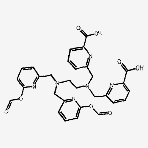 O=COc1cccc(CN(CCN(Cc2cccc(C(=O)O)n2)Cc2cccc(C(=O)O)n2)Cc2cccc(OC=O)n2)n1